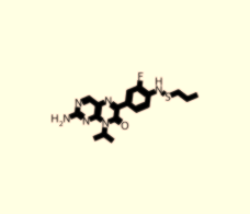 CCCSNc1ccc(-c2nc3cnc(N)nc3n(C(C)C)c2=O)cc1F